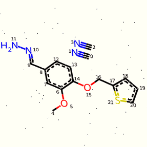 C#N.C#N.COc1cc(C=NN)ccc1OCc1cccs1